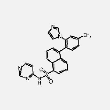 O=S(=O)(Nc1ccncn1)c1cccc2c(-c3ccc(C(F)(F)F)cc3-n3ccnc3)cccc12